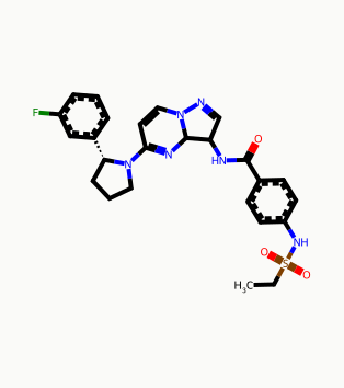 CCS(=O)(=O)Nc1ccc(C(=O)NC2C=NN3C=CC(N4CCC[C@@H]4c4cccc(F)c4)=NC23)cc1